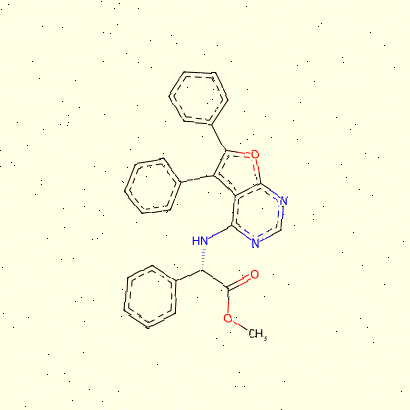 COC(=O)[C@@H](Nc1ncnc2oc(-c3ccccc3)c(-c3ccccc3)c12)c1ccccc1